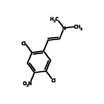 CN(C)C=Cc1cc(Cl)c([N+](=O)[O-])cc1Cl